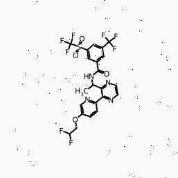 CC(NC(=O)c1cc(C(F)(F)F)cc(S(=O)(=O)C(F)(F)F)c1)c1nccnc1-c1ccc(OCC(F)F)cn1